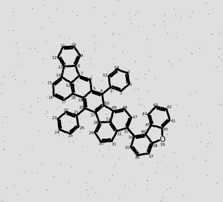 c1ccc(-c2c3cc4c5ccccc5c5cccc(c3c(-c3ccccc3)c3c6cccc7c(-c8cccc9oc%10ccccc%10c89)ccc(c23)c76)c54)cc1